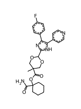 CC1(C(=O)OC2(C(N)=O)CCCCC2)COC(c2nc(-c3ccc(F)cc3)c(-c3ccncc3)[nH]2)OC1